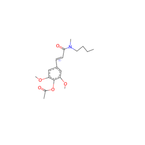 CCCCN(C)C(=O)/C=C/c1cc(OC)c(OC(C)=O)c(OC)c1